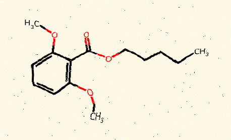 CCCCCOC(=O)c1c(OC)cccc1OC